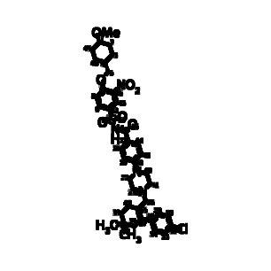 CO[C@H]1CC[C@@H](COc2ccc(S(=O)(=O)NC(=O)c3ccc(N4CCN(CC5=C(c6ccc(Cl)cc6)CC(C)(C)CC5)CC4)cc3)cc2[N+](=O)[O-])CC1